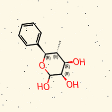 C[C@@H]1[C@@H](O)[C@@H](O)C(O)O[C@H]1c1ccccc1